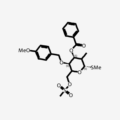 COc1ccc(CO[C@@H]2C(COS(C)(=O)=O)O[C@@H](SC)C(C)[C@@H]2OC(=O)c2ccccc2)cc1